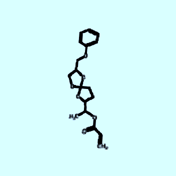 C=CC(=O)OC(C)C1CCC2(OCC(COc3ccccc3)O2)O1